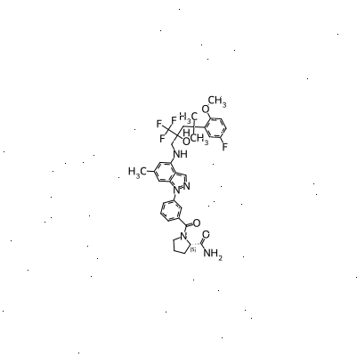 COc1ccc(F)cc1C(C)(C)CC(O)(CNc1cc(C)cc2c1cnn2-c1cccc(C(=O)N2CCC[C@H]2C(N)=O)c1)C(F)(F)F